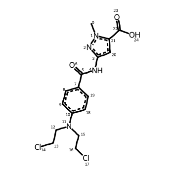 Cn1nc(NC(=O)c2ccc(N(CCCl)CCCl)cc2)cc1C(=O)O